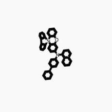 c1ccc(-c2ccc(N(c3ccc4c(c3)Oc3ccccc3[Si]43c4ccccc4-c4ccccc43)c3cccc4ccccc34)cc2)cc1